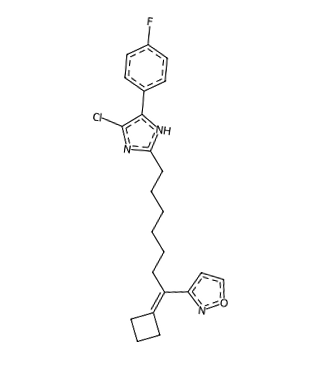 Fc1ccc(-c2[nH]c(CCCCCCC(=C3CCC3)c3ccon3)nc2Cl)cc1